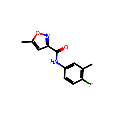 Cc1cc(C(=O)Nc2ccc(F)c(C)c2)no1